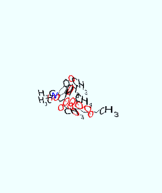 CCCCOC(=O)C[C@H](OC(C)=O)C(=O)O[C@@H](C)C(=O)OC1=CC[C@@]2(O)[C@H](N(C)CC)Cc3ccc(OC)c4c3[C@@]2(C)[C@H]1O4